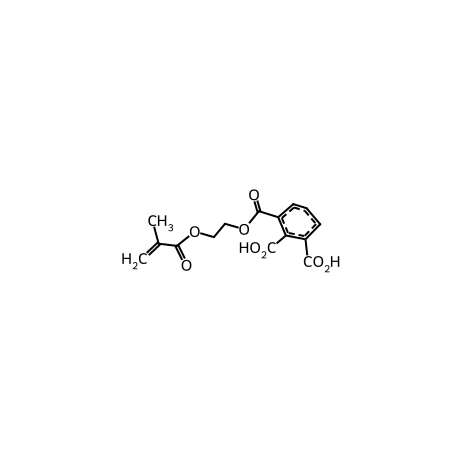 C=C(C)C(=O)OCCOC(=O)c1cccc(C(=O)O)c1C(=O)O